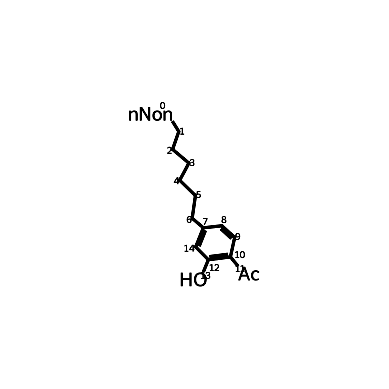 CCCCCCCCCCCCCCCc1ccc(C(C)=O)c(O)c1